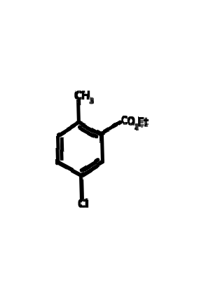 CCOC(=O)c1cc(Cl)ccc1C